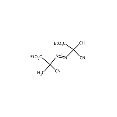 CCOC(=O)C(C)(C#N)/N=N/C(C)(C#N)C(=O)OCC